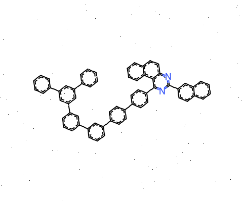 c1ccc(-c2cc(-c3ccccc3)cc(-c3cccc(-c4cccc(-c5ccc(-c6ccc(-c7nc(-c8ccc9ccccc9c8)nc8ccc9ccccc9c78)cc6)cc5)c4)c3)c2)cc1